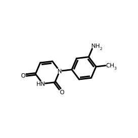 Cc1ccc(-n2ccc(=O)[nH]c2=O)cc1N